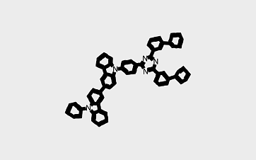 c1ccc(-c2cccc(-c3nc(-c4ccc(-n5c6ccccc6c6cc(-c7ccc8c(c7)c7ccccc7n8-c7ccccc7)ccc65)cc4)nc(-c4cccc(-c5ccccc5)c4)n3)c2)cc1